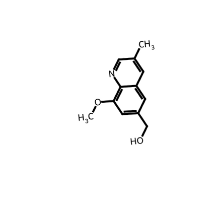 COc1cc(CO)cc2cc(C)cnc12